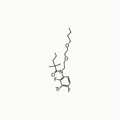 CCCCOCCOCCN(C(=O)C(C)(C)CCC)c1ccc(F)[c]([Ti])c1F